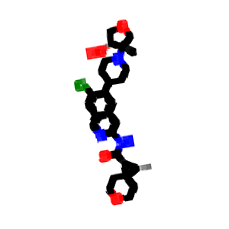 C[C@H]1[C@H](C(=O)Nc2cc3cc(C4CCN([C@@]5(C)COC[C@H]5O)CC4)c(Cl)cc3cn2)C12CCOCC2